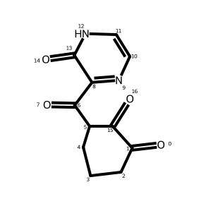 O=C1CCCC(C(=O)c2ncc[nH]c2=O)C1=O